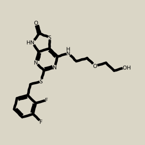 O=c1[nH]c2nc(SCc3cccc(F)c3F)nc(NCCOCCO)c2s1